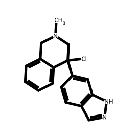 CN1Cc2ccccc2C(Cl)(c2ccc3cn[nH]c3c2)C1